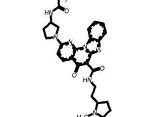 CC(=O)NC1CCN(c2ccc3c(=O)c(C(=O)NCCC4CCCN4C)c4sc5ccccc5n4c3n2)C1